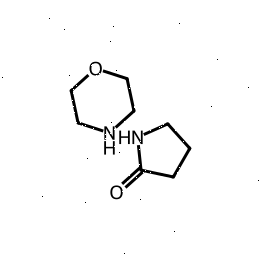 C1COCCN1.O=C1CCCN1